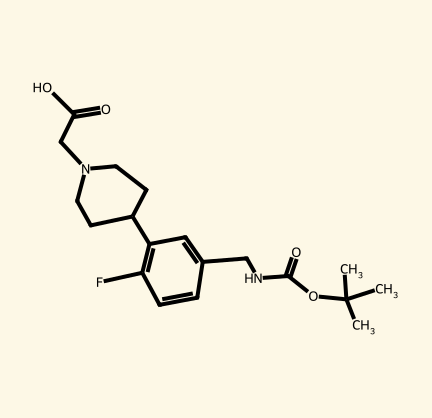 CC(C)(C)OC(=O)NCc1ccc(F)c(C2CCN(CC(=O)O)CC2)c1